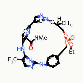 CCOP1(=O)Cc2ccc(cc2)Nc2ncc(C(F)(F)F)c(n2)Nc2ccc(nc2C(=O)NC)-c2cnn(c2)C[C@H](C)CO1